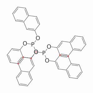 c1ccc(OP(Oc2ccc3ccccc3c2)Oc2ccc3ccccc3c2)c(COP(Oc2ccc3ccccc3c2)Oc2ccc3ccccc3c2)c1